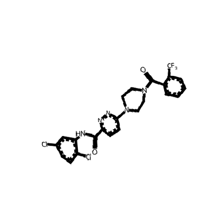 O=C(Nc1cc(Cl)ccc1Cl)c1ccc(N2CCN(C(=O)c3ccccc3C(F)(F)F)CC2)nn1